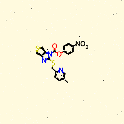 Cc1ccc(CSc2nc3cscc3n2C(=O)Oc2ccc([N+](=O)[O-])cc2)nc1